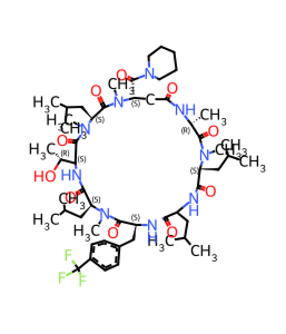 CC(C)CC1NC(=O)[C@H](CC(C)C)N(C)C(=O)[C@@H](C)NC(=O)C[C@@H](C(=O)N2CCCCC2)N(C)C(=O)[C@H](CC(C)C)N(C)C(=O)[C@H]([C@@H](C)O)NC(=O)[C@H](CC(C)C)N(C)C(=O)[C@H](Cc2ccc(C(F)(F)F)cc2)NC1=O